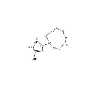 OC1=CN(C2CCCCCCCC2)NO1